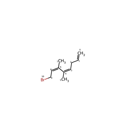 C=CC/C=C(C)\C(C)=C/CBr